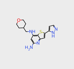 Nc1cc(NCC2CCOCC2)c2sc(-c3ccn[nH]3)cc2n1